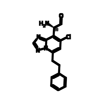 N[C@H](C=O)c1c(Cl)cc(CCc2ccccc2)n2ncnc12